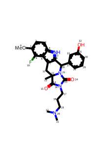 COc1ccc2[nH]c3c(c2c1F)CC1(C)C(=O)N(CCCN(C)C)C(=O)N1C3c1cccc(O)c1